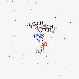 CCOC(=O)c1cnc2[nH]c(-c3cc(OC(C)C)cc(OC(C)C)c3)nc2c1